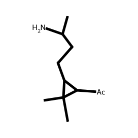 CC(=O)C1C(CCC(C)N)C1(C)C